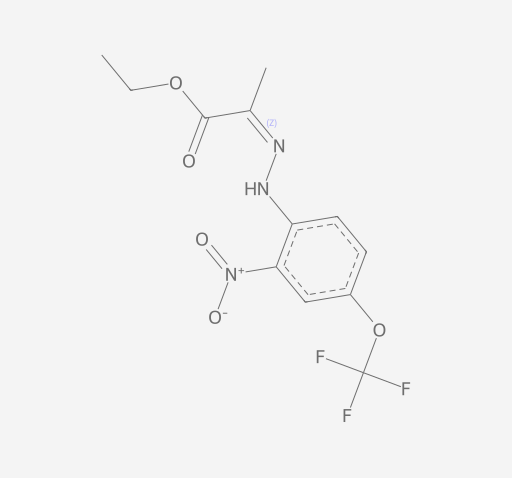 CCOC(=O)/C(C)=N\Nc1ccc(OC(F)(F)F)cc1[N+](=O)[O-]